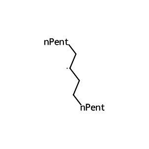 CCCCCC[CH]CCCCCCC